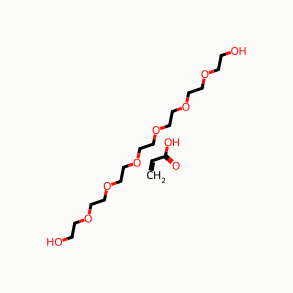 C=CC(=O)O.OCCOCCOCCOCCOCCOCCOCCO